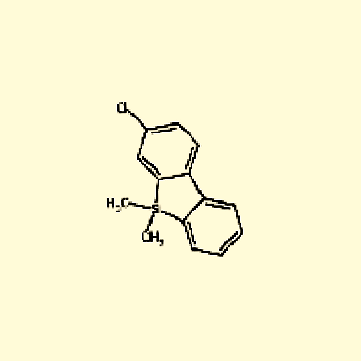 C[Si]1(C)c2ccccc2-c2ccc(Cl)cc21